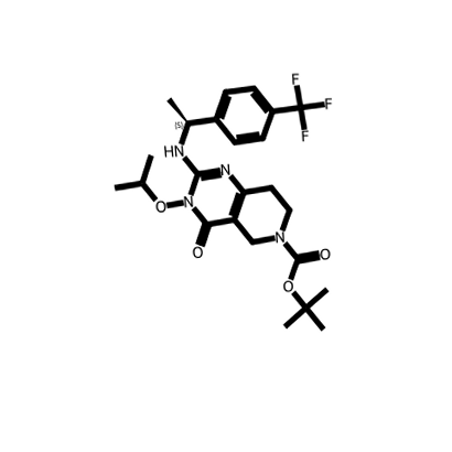 CC(C)On1c(N[C@@H](C)c2ccc(C(F)(F)F)cc2)nc2c(c1=O)CN(C(=O)OC(C)(C)C)CC2